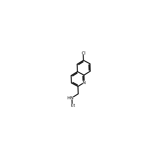 CCNCc1ccc2cc(Cl)ccc2n1